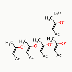 CC(=O)/C=C(/C)[O-].CC(=O)/C=C(/C)[O-].CC(=O)/C=C(/C)[O-].CC(=O)/C=C(/C)[O-].CC(=O)/C=C(/C)[O-].[Ta+5]